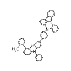 Cc1ccccc1-c1cccc(N(c2ccccc2)c2ccc(-c3ccc(N(c4ccccc4)c4cccc5c4sc4ccccc45)cc3)cc2)c1S